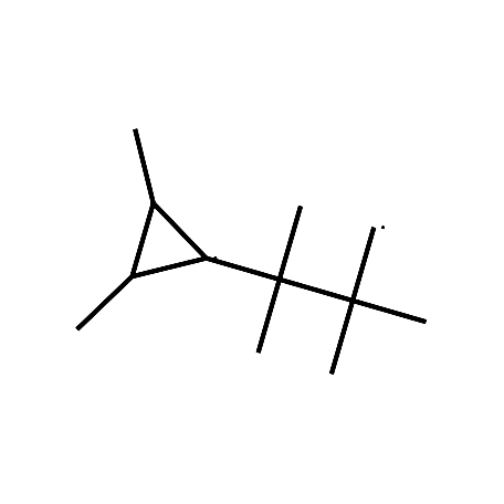 [CH2]C(C)(C)C(C)(C)[C]1C(C)C1C